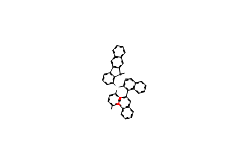 Cc1ccc(N(c2cccc3c2C(C)(C)c2cc4ccccc4cc2-3)c2ccc3ccccc3c2-c2ccc3ccccc3c2)cc1